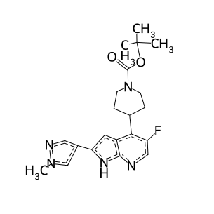 Cn1cc(-c2cc3c(C4CCN(C(=O)OC(C)(C)C)CC4)c(F)cnc3[nH]2)cn1